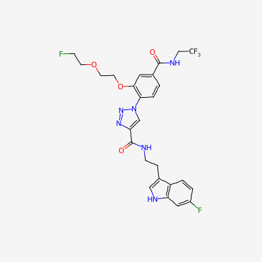 O=C(NCC(F)(F)F)c1ccc(-n2cc(C(=O)NCCc3c[nH]c4cc(F)ccc34)nn2)c(OCCOCCF)c1